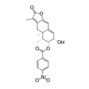 CC1=C2C[C@@]3(C)C(=C[C@H](O)[C@H](OC(=O)c4ccc([N+](=O)[O-])cc4)[C@@H]3C)C=C2OC1=O